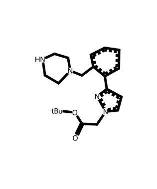 CC(C)(C)OC(=O)Cn1ccc(-c2ccccc2CN2CCNCC2)n1